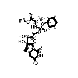 C#C[C@]1(O)C(n2ccc(=O)[nH]c2=O)O[C@H](COP(=O)(N[C@@H](CCC)C(=O)OC(C)C)Oc2ccccc2)[C@H]1O